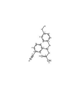 CCc1ccc(CN(CC(=O)O)c2cccc(C#N)c2)cc1